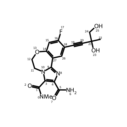 CNC(=O)c1c(C(N)=O)nc2n1CCOc1cc(F)c(C#CC(C)(O)CO)cc1-2